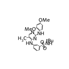 COc1ccc(Nc2ncc(C)c(Nc3cccc(S(=O)(=O)NC(C)(C)C)c3)n2)c(OC)c1